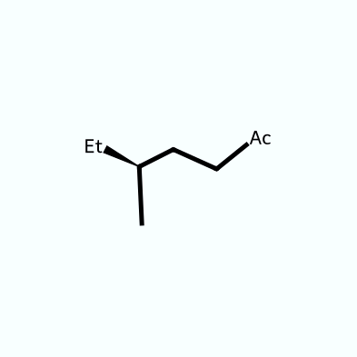 CC[C@H](C)CCC(C)=O